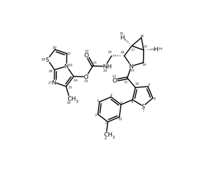 Cc1cccc(-c2sccc2C(=O)N2C[C@@H]3C[C@@H]3[C@H]2CNC(=O)Oc2c(C)nc3sccn23)c1